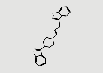 C(=C\N1CCC(c2nsc3ccccc23)CC1)/Cc1c[nH]c2ccccc12